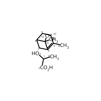 CC(O)C(=O)O.CC1=C2CC(CC1)C2(C)C